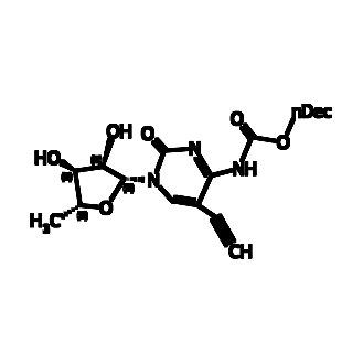 C#Cc1cn([C@@H]2O[C@H](C)[C@@H](O)[C@H]2O)c(=O)nc1NC(=O)OCCCCCCCCCC